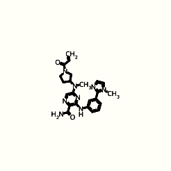 C=CC(=O)N1CCC(N(C)c2cnc(C(N)=O)c(Nc3cccc(-c4nccn4C)c3)n2)C1